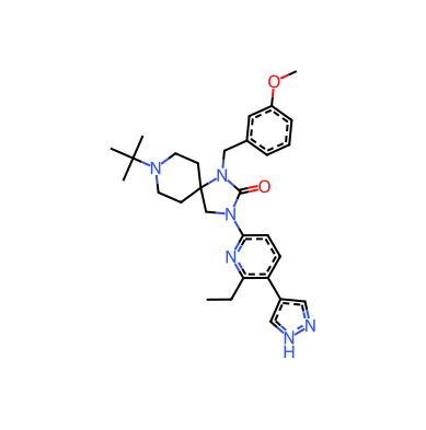 CCc1nc(N2CC3(CCN(C(C)(C)C)CC3)N(Cc3cccc(OC)c3)C2=O)ccc1-c1cn[nH]c1